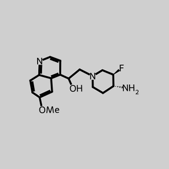 COc1ccc2nccc(C(O)CN3CC[C@@H](N)[C@H](F)C3)c2c1